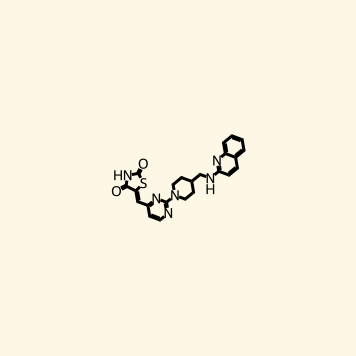 O=C1NC(=O)C(=Cc2ccnc(N3CCC(CNc4ccc5ccccc5n4)CC3)n2)S1